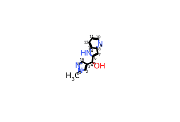 Cn1cc(C(O)c2cc3ncccc3[nH]2)cn1